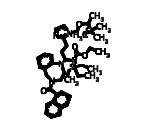 CCOC(=O)N(C(CCc1nccn1COC(C)[Si](C)(C)C)N1CCN(C(=O)c2cccc3ccccc23)Cc2ccccc21)[Si](CC)(CC)CC